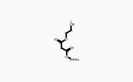 CCCCCCOC(=O)CC(=O)OCCC#N